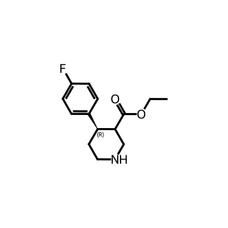 CCOC(=O)C1CNCC[C@H]1c1ccc(F)cc1